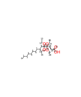 CCCCCCCCCCC(OCC)(OCC)C(C=CC(=O)O)(OCC)OCC